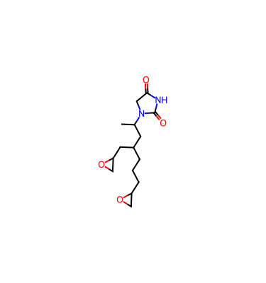 CC(CC(CCCC1CO1)CC1CO1)N1CC(=O)NC1=O